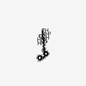 CCNC(=O)NNC(=S)NCCCOc1cccc(CN2CCCCC2)c1